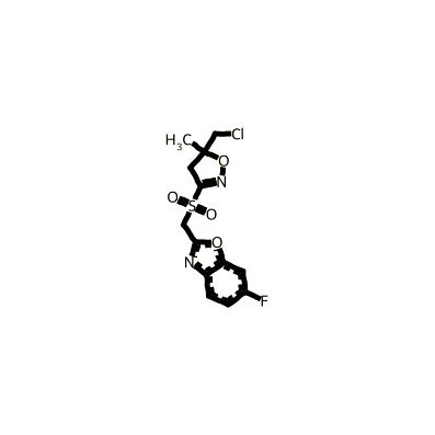 CC1(CCl)CC(S(=O)(=O)Cc2nc3ccc(F)cc3o2)=NO1